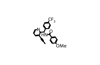 CC#Cc1cccnc1[C@@H](NC(=O)c1ccc(OC)cc1)c1ccc(C(F)(F)F)cc1